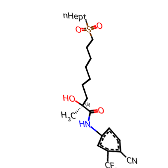 CCCCCCCS(=O)(=O)CCCCCCC[C@](C)(O)C(=O)Nc1ccc(C#N)c(C(F)(F)F)c1